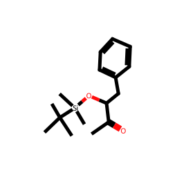 CC(=O)C(Cc1ccccc1)O[Si](C)(C)C(C)(C)C